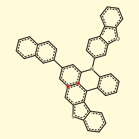 c1cc(-c2ccc3ccccc3c2)cc(N(c2ccc3c(c2)oc2ccccc23)c2ccccc2-c2cccc3sc4ccccc4c23)c1